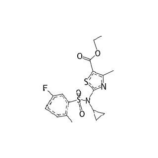 CCOC(=O)c1sc(N(C2CC2)S(=O)(=O)c2cc(F)ccc2C)nc1C